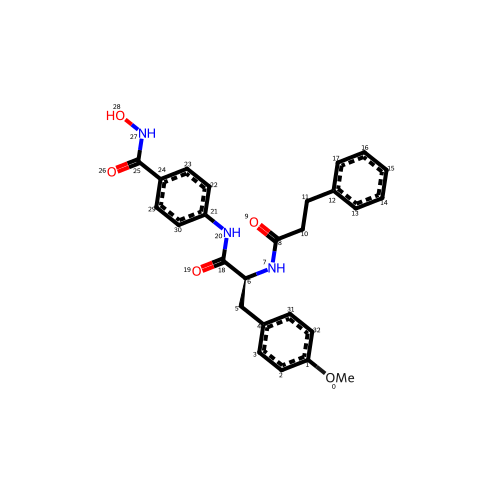 COc1ccc(C[C@H](NC(=O)CCc2ccccc2)C(=O)Nc2ccc(C(=O)NO)cc2)cc1